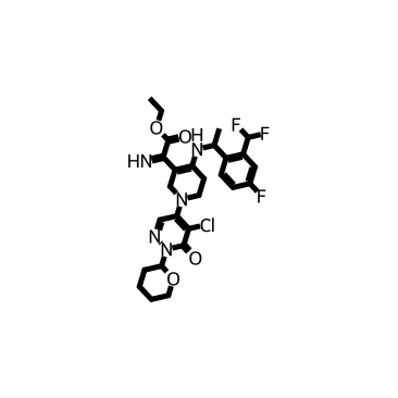 CCOC(=O)C(=N)C1=C(NC(C)c2ccc(F)cc2C(F)F)CCN(c2cnn(C3CCCCO3)c(=O)c2Cl)C1